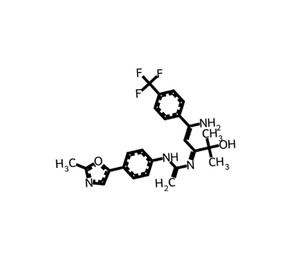 C=C(/N=C(\C=C(/N)c1ccc(C(F)(F)F)cc1)C(C)(C)O)Nc1ccc(-c2cnc(C)o2)cc1